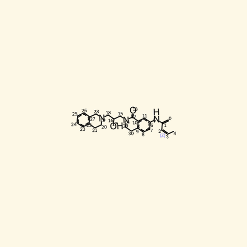 C=C(/C=C\C)Nc1ccc2c(c1)C(=O)N(CC(O)CN1CCc3ccccc3C1)CC2